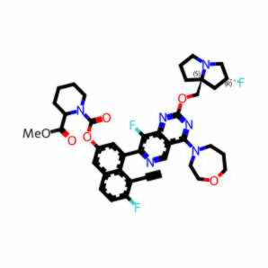 C#Cc1c(F)ccc2cc(OC(=O)N3CCCCC3C(=O)OC)cc(-c3ncc4c(N5CCCOCC5)nc(OC[C@@]56CCCN5C[C@H](F)C6)nc4c3F)c12